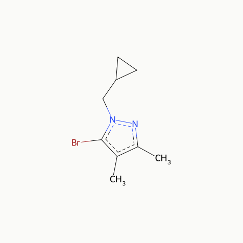 Cc1nn(CC2CC2)c(Br)c1C